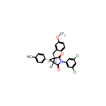 N#Cc1ccc([C@H]2[C@H]3C(=O)N(c4cc(Cl)cc(Cl)c4)C(=O)[C@]32Cc2cccc(OC(F)(F)F)c2)cc1